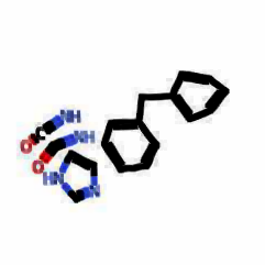 N=C=O.N=C=O.c1c[nH]cn1.c1ccc(Cc2ccccc2)cc1